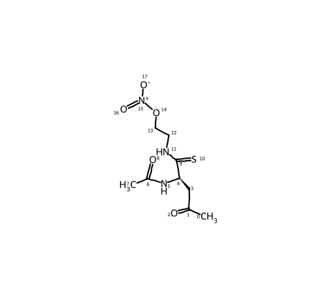 CC(=O)C[C@@H](NC(C)=O)C(=S)NCCO[N+](=O)[O-]